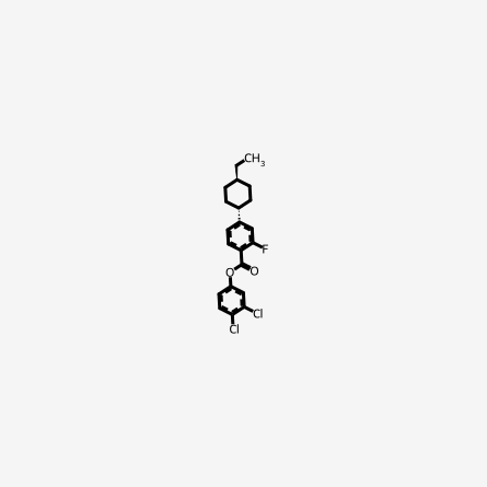 CC[C@H]1CC[C@H](c2ccc(C(=O)Oc3ccc(Cl)c(Cl)c3)c(F)c2)CC1